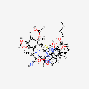 CCCCOc1cccc2c3c([nH]c12)[C@@]1(CS[C@@H]2c4c(OC(C)=O)c(C)c5c(c4[C@H](COC1=O)N1C2[C@@H]2c4c(cc(C)c(OC)c4O)C[C@H]([C@@H]1C#N)N2C)OCO5)NCC3